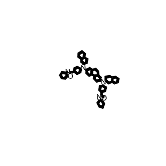 c1ccc2cc(N(c3ccc(-c4nc5ccccc5o4)cc3)c3ccc4c(ccc5cc(N(c6ccc(-c7nc8ccccc8o7)cc6)c6ccc7ccccc7c6)ccc54)c3)ccc2c1